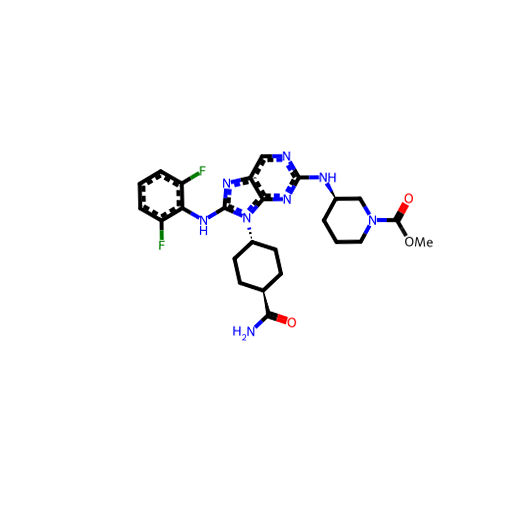 COC(=O)N1CCC[C@@H](Nc2ncc3nc(Nc4c(F)cccc4F)n([C@H]4CC[C@H](C(N)=O)CC4)c3n2)C1